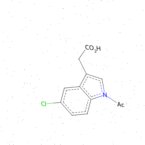 CC(=O)n1cc(CC(=O)O)c2cc(Cl)ccc21